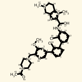 COc1nc(-c2cccc(-c3cccc(NC(O)c4nc5c(n4C)CCN(C)C5)c3Cl)c2Cl)cnc1CN1CCN(C(C)=O)CC1